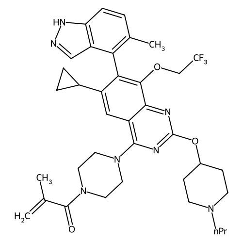 C=C(C)C(=O)N1CCN(c2nc(OC3CCN(CCC)CC3)nc3c(OCC(F)(F)F)c(-c4c(C)ccc5[nH]ncc45)c(C4CC4)cc23)CC1